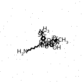 Cc1cc([C@H](C(=O)N2C[C@H](O)C[C@H]2C(=O)N[C@@H](CC(=O)NCCCCCCCCN)c2ccc(-c3scnc3C)cc2)C(C)C)on1